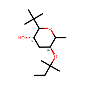 CCC(C)(C)O[C@H]1C[C@H](O)C(C(C)(C)C)OC1C